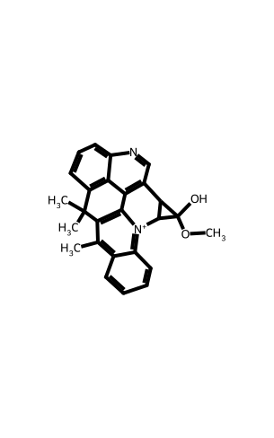 COC1(O)C2c3cnc4cccc5c4c3-c3c(c(C)c4ccccc4[n+]3C21)C5(C)C